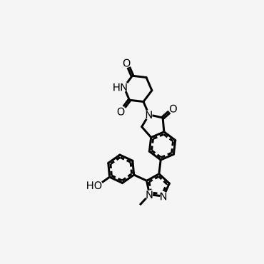 Cn1ncc(-c2ccc3c(c2)CN(C2CCC(=O)NC2=O)C3=O)c1-c1cccc(O)c1